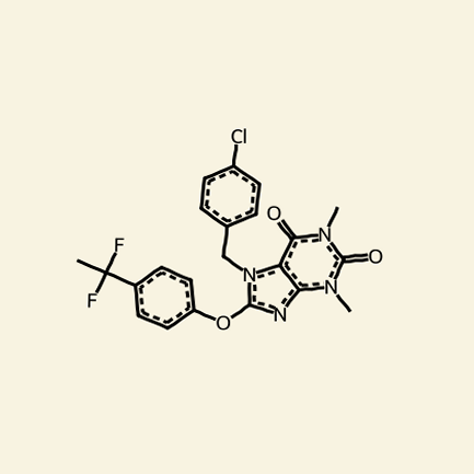 Cn1c(=O)c2c(nc(Oc3ccc(C(C)(F)F)cc3)n2Cc2ccc(Cl)cc2)n(C)c1=O